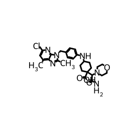 Cc1cc(Cl)nc2c1nc(C)n2Cc1ccc(NC2CCC(C(=O)O)(C(C(N)=O)N3CCOCC3)CC2)cc1